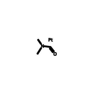 CN(C)C=O.[Pt]